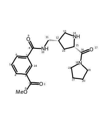 COC(=O)c1cccc(C(=O)NC[C@@H]2CN[C@H](C(=O)N3CCCC3)C2)c1